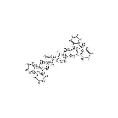 O=P(c1ccccc1)(c1ccccc1)c1ccc2c(c1)oc1cc(-c3ccc4c(c3)Oc3c(c5ccccc5c5ccccc35)O4)ccc12